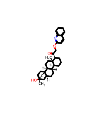 C[C@@]1(O)CC[C@@]2(C)[C@@H](CC[C@@H]3[C@@H]2CC[C@]2(C)[C@@H](C(=O)COc4ccc5ccccc5n4)CCC[C@@H]32)C1